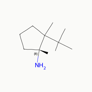 CC(C)(C)C1(C)CCC[C@@]1(C)N